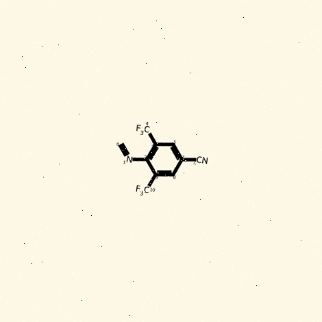 C=Nc1c(C(F)(F)F)cc(C#N)cc1C(F)(F)F